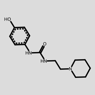 O=C(NCCN1CCCCC1)Nc1ccc(O)cc1